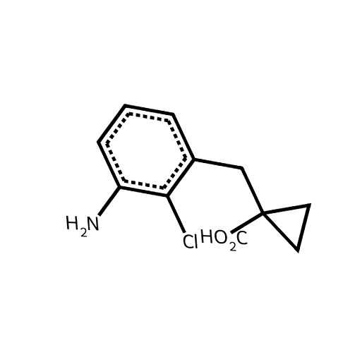 Nc1cccc(CC2(C(=O)O)CC2)c1Cl